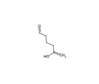 C=C(O)CCCC=O